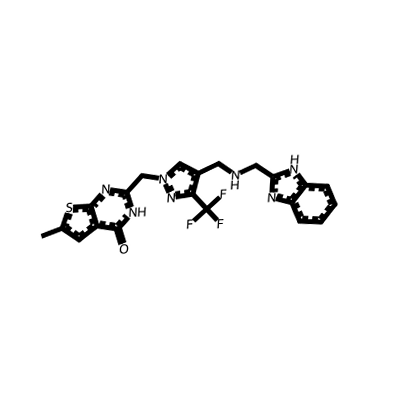 Cc1cc2c(=O)[nH]c(Cn3cc(CNCc4nc5ccccc5[nH]4)c(C(F)(F)F)n3)nc2s1